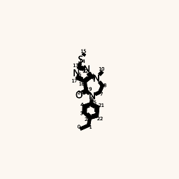 CCc1ccc(N2CCN(C)c3nc(SC)ncc3C2=O)cc1